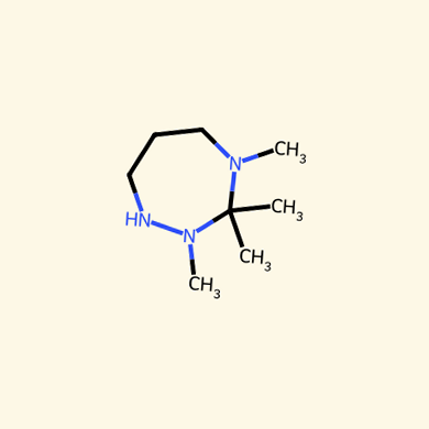 CN1CCCNN(C)C1(C)C